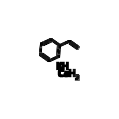 C=Cc1ccccc1.[CaH2].[KH]